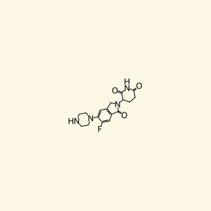 O=C1CCC(N2Cc3cc(N4CCNCC4)c(F)cc3C2=O)C(=O)N1